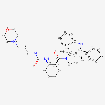 O=C(NCCCN1CCOCC1)N[C@@H]1CCCC[C@@H]1C(=O)N1CC[C@@H]2[C@H](c3ccccc3)Nc3ccccc3[C@@H]21